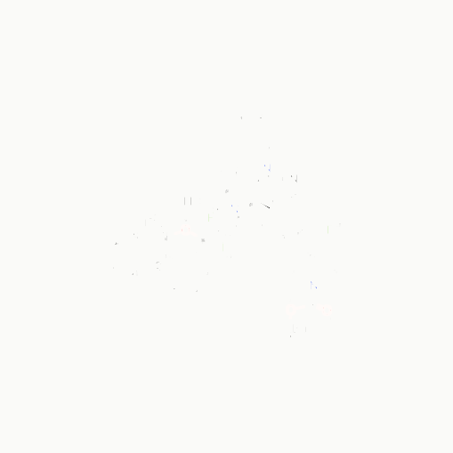 C[C@@H]1Cc2c([nH]c3ccccc23)[C@@H](c2ccc(C(F)C3CN(C(=O)OC(C)(C)C)C3)cc2C#N)N1CC(F)(F)CO[Si](c1ccccc1)(c1ccccc1)C(C)(C)C